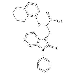 O=C(O)C(Cn1c(=O)n(-c2ccccc2)c2ccccc21)Oc1cccc2c1CCCC2